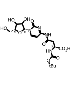 CC(C)(C)OC(=O)N[C@@H](CC(=O)Nc1ccn([C@@H]2O[C@H](CO)C(O)C2O)c(=O)n1)C(=O)O